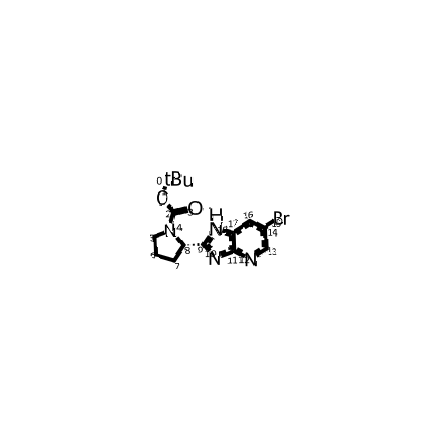 CC(C)(C)OC(=O)N1CCC[C@H]1c1nc2ncc(Br)cc2[nH]1